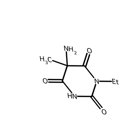 CCN1C(=O)NC(=O)C(C)(N)C1=O